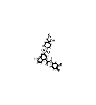 COCC1(O)CCN(S(=O)(=O)c2cc(C(=O)Nc3ccc(F)c(F)c3)c3cc[nH]c3c2)CC1